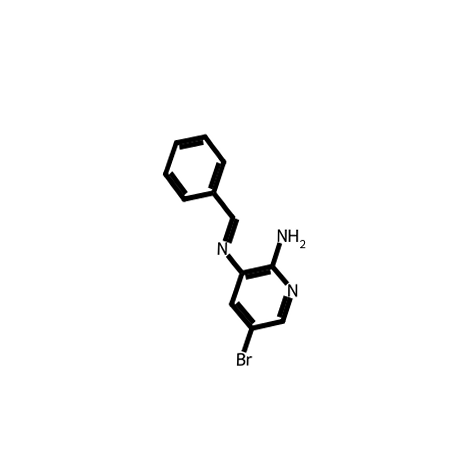 Nc1ncc(Br)cc1N=Cc1ccccc1